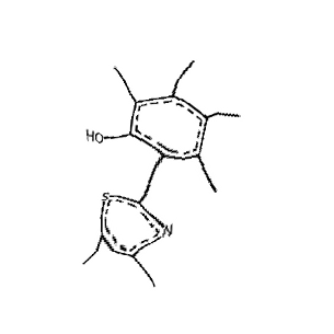 Cc1nc(-c2c(C)c(C)c(C)c(C)c2O)sc1C